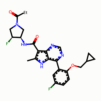 CCC(=O)N1C[C@H](F)[C@H](NC(=O)c2c(C)[nH]c3c(-c4cc(F)ccc4OCC4CC4)ncnc23)C1